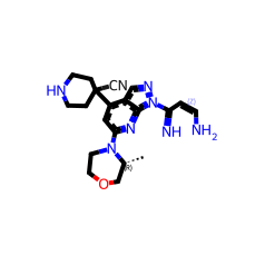 C[C@@H]1COCCN1c1cc(C2(C#N)CCNCC2)c2cnn(C(=N)/C=C\N)c2n1